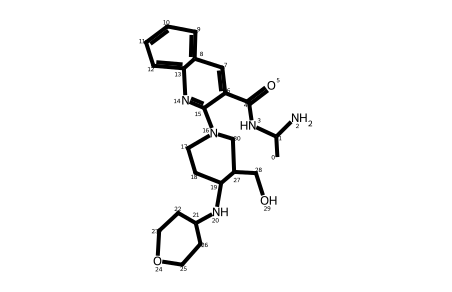 CC(N)NC(=O)c1cc2ccccc2nc1N1CCC(NC2CCOCC2)C(CO)C1